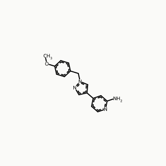 COc1ccc(Cn2cc(-c3ccnc(N)c3)cn2)cc1